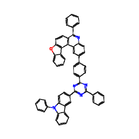 c1ccc(-c2nc(-c3ccc(-c4ccc5nc(-c6ccccc6)c6ccc7oc8ccccc8c7c6c5c4)cc3)nc(-c3ccc4c(c3)c3ccccc3n4-c3ccccc3)n2)cc1